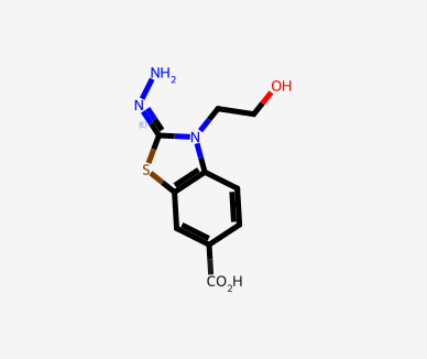 N/N=c1/sc2cc(C(=O)O)ccc2n1CCO